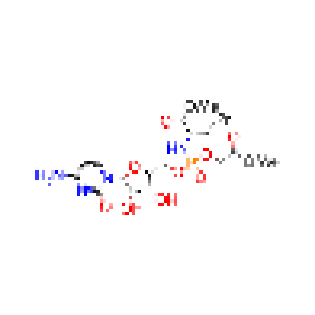 COC(=O)COP(=O)(N[C@@H](CC(C)C)C(=O)OC)OC[C@H]1O[C@@H](n2ccc(N)nc2=O)C(O)[C@H]1O